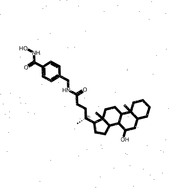 C[C@H](CCC(=O)NCc1ccc(C(=O)NO)cc1)C1CCC2C3C(O)CC4CCCCC4(C)C3CCC21C